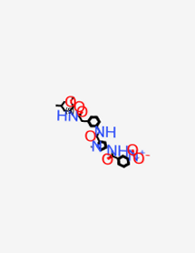 COC(=O)[C@H](CC(C)C)NC(=O)Cc1cccc(NC(=O)c2cc(NC(=O)c3cccc([N+](=O)[O-])c3)cn2C)c1